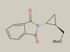 COC[C@@H]1C[C@H]1N1C(=O)c2ccccc2C1=O